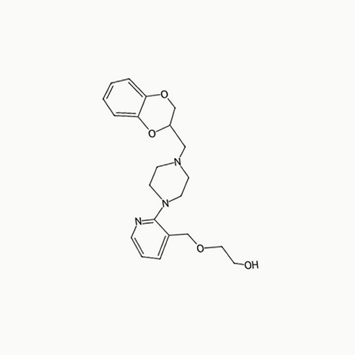 OCCOCc1cccnc1N1CCN(CC2COc3ccccc3O2)CC1